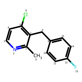 Cc1nccc(Cl)c1Cc1ccc(F)cc1